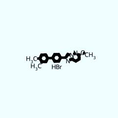 Br.COc1ccc2nc(-c3ccc(-c4ccc(C)c(C)c4)cc3)cn2n1